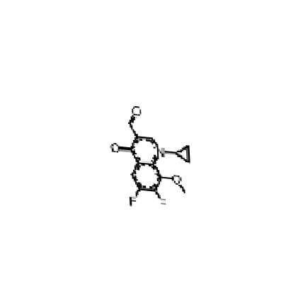 COc1c(F)c(F)cc2c(=O)c(C=O)cn(C3CC3)c12